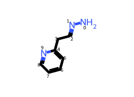 NN=CCc1ccccn1